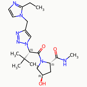 CCc1nccn1Cc1cn([C@H](C(=O)N2C[C@H](O)C[C@H]2C(=O)NC)C(C)(C)C)nn1